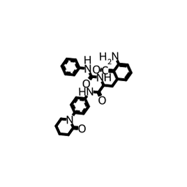 NC1=CC=CC(CC(NC(=O)Nc2ccccc2)C(=O)Nc2ccc(N3CCCCC3=O)cc2)C1=C=O